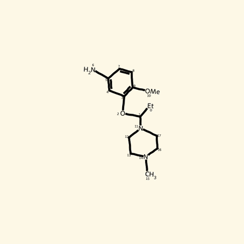 CCC(Oc1cc(N)ccc1OC)N1CCN(C)CC1